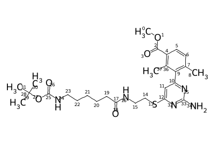 COC(=O)c1ccc(C)c(-c2cc(SCCNC(=O)CCCCCNC(=O)OC(C)(C)C)nc(N)n2)c1C